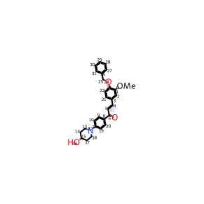 COc1cc(/C=C/C(=O)c2ccc(N3CCC(O)CC3)cc2)ccc1OCc1ccccc1